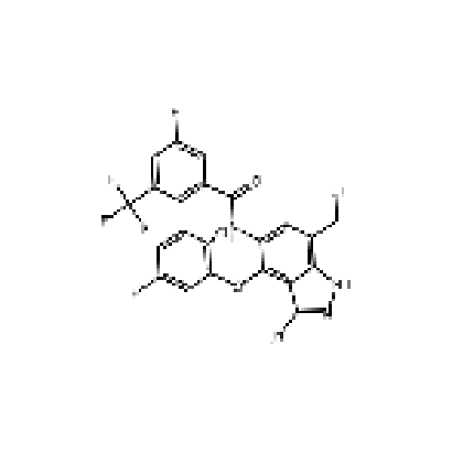 Nc1n[nH]c2c(CO)cc(NC(=O)c3cc(F)cc(C(F)(F)F)c3)c(Oc3cc(F)ccc3Cl)c12